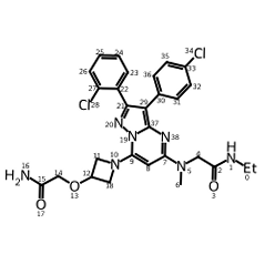 CCNC(=O)CN(C)c1cc(N2CC(OCC(N)=O)C2)n2nc(-c3ccccc3Cl)c(-c3ccc(Cl)cc3)c2n1